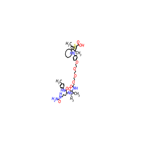 CCC1SC(C(=O)O)=C2SC1(C1(C)CCCCCCCCC1)C2(C)Nc1ccc(OCCOCCOCCOCC(=O)NC(C(=O)N[C@@H](CCCNC(N)=O)C(=O)Nc2ccc(C)cc2)C(C)C)cc1